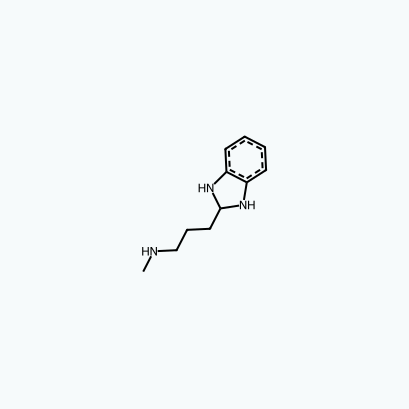 CNCCCC1Nc2ccccc2N1